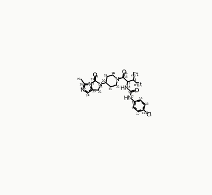 CCC(CC)C(NC(=O)Nc1ccc(Cl)cc1)C(=O)N1CCC(N2Cc3cnc(C)n3C2=O)CC1